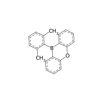 Cc1cccc(C)c1B1c2ccccc2Oc2ccccc21